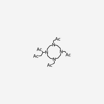 CC(=O)CC(C(C)=O)N1CCN(CC(C)=O)CCN(CC(C)=O)CCN(CC(C)=O)CC1